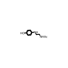 CC(=O)NCCNc1ccc(O)cc1